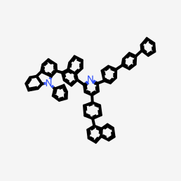 C1=CC2c3cccc(-c4ccc(-c5cc(-c6ccc(-c7cccc8ccccc78)cc6)cc(-c6ccc(-c7ccc(-c8ccccc8)cc7)cc6)n5)c5ccccc45)c3N(c3ccccc3)C2C=C1